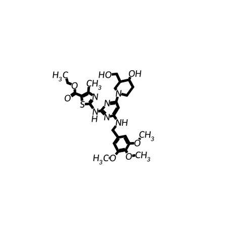 CCOC(=O)c1sc(Nc2nc(NCc3cc(OC)c(OC)c(OC)c3)cc(N3CCC(O)C(CO)C3)n2)nc1C